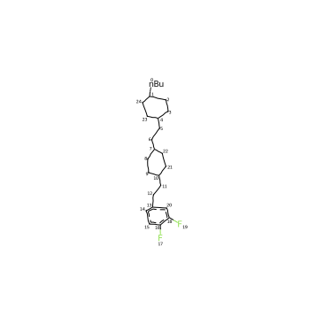 CCCCC1CCC(CCC2CCC(CCc3ccc(F)c(F)c3)CC2)CC1